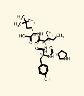 CC[C@H](C)[C@H](NC(=O)[C@H](Cc1ccc(O)cc1)NC(=O)[C@@H]1CCNC1)C(=O)N[C@@H](CCC(C)(C)C)C(=O)O